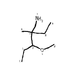 CCC(OC)C(C)(N)CC